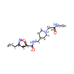 CC(C)Cc1cc(C(=O)NCC2CCN(CC(=O)NC(C)(C)C)CC2)on1